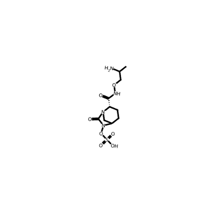 CC(N)CONC(=O)[C@@H]1CCC2CN1C(=O)N2OS(=O)(=O)O